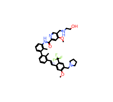 COc1cc(C(=O)Nc2cccc(-c3cccc(/C=C/c4cc(OC)c(CN5CCCC5)cc4C(F)(F)F)c3C)c2C)ncc1CNCCO